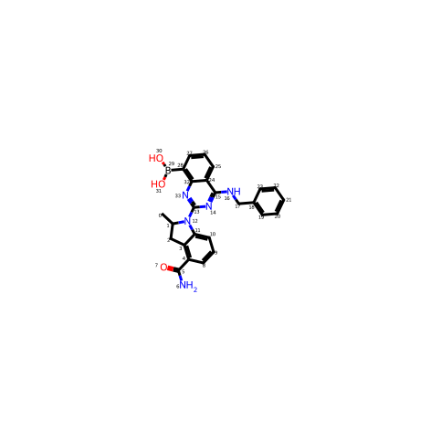 CC1Cc2c(C(N)=O)cccc2N1c1nc(NCc2ccccc2)c2cccc(B(O)O)c2n1